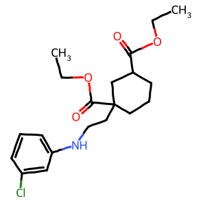 CCOC(=O)C1CCCC(CCNc2cccc(Cl)c2)(C(=O)OCC)C1